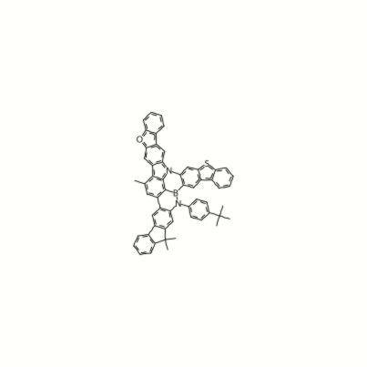 Cc1cc2c3c4c1c1cc5oc6ccccc6c5cc1n4-c1cc4sc5ccccc5c4cc1B3N(c1ccc(C(C)(C)C)cc1)c1cc3c(cc1-2)-c1ccccc1C3(C)C